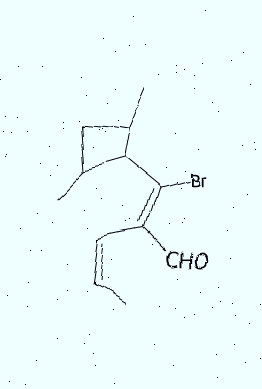 C/C=C\C(C=O)=C(\Br)C1C(C)CC1C